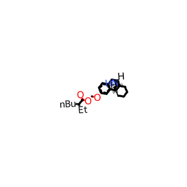 CCCCC(CC)C(=O)OCOc1ccc2c(c1)[C@@]13CCCC[C@H]1[C@@H](C2)NCC3